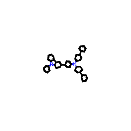 C1=CC(N(c2ccc(C3=CC4c5ccccc5N(c5ccccc5)C4C=C3)cc2)c2ccc(-c3ccccc3)cc2)CC=C1c1ccccc1